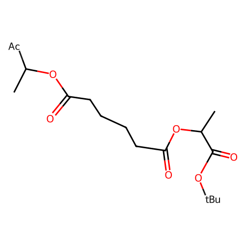 CC(=O)C(C)OC(=O)CCCCC(=O)OC(C)C(=O)OC(C)(C)C